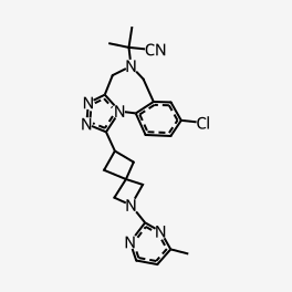 Cc1ccnc(N2CC3(CC(c4nnc5n4-c4ccc(Cl)cc4CN(C(C)(C)C#N)C5)C3)C2)n1